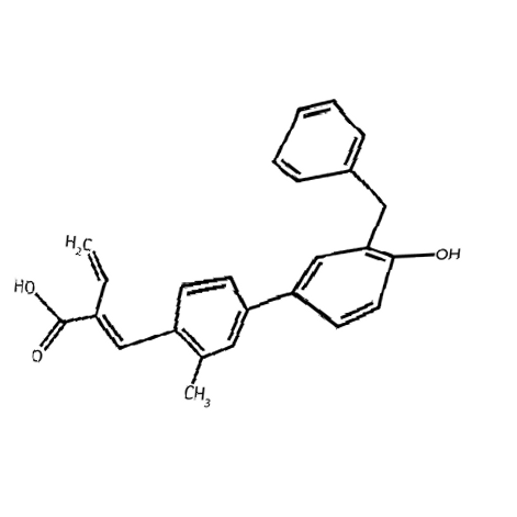 C=C/C(=C\c1ccc(-c2ccc(O)c(Cc3ccccc3)c2)cc1C)C(=O)O